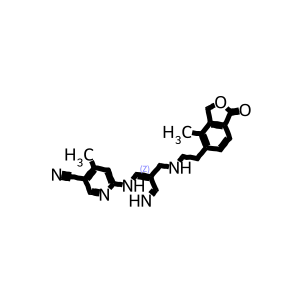 Cc1cc(N/C=C(\C=N)CNCCc2ccc3c(c2C)COC3=O)ncc1C#N